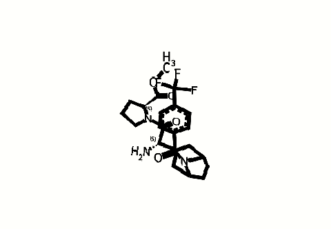 COC(=O)[C@@H]1CCCN1C(=O)[C@@H](N)C1CC2CCC(C1)N2C(=O)c1ccc(C(F)(F)F)cc1